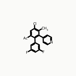 CC(=O)c1cc(Cl)c(C)c(-c2ccncc2)c1-c1cc(F)cc(F)c1